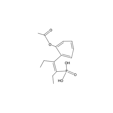 CCC(=C(CC)P(=O)(O)O)c1ccccc1OC(C)=O